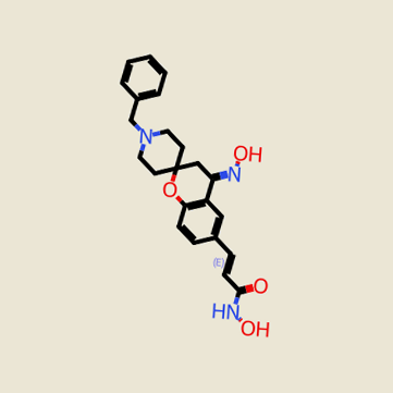 O=C(/C=C/c1ccc2c(c1)C(=NO)CC1(CCN(Cc3ccccc3)CC1)O2)NO